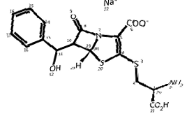 N[C@H](CSC1=C(C(=O)[O-])N2C(=O)C(C(O)c3ccccc3)[C@H]2S1)C(=O)O.[Na+]